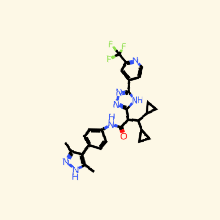 Cc1n[nH]c(C)c1-c1ccc(NC(=O)C(c2nnc(-c3ccnc(C(F)(F)F)c3)[nH]2)C(C2CC2)C2CC2)cc1